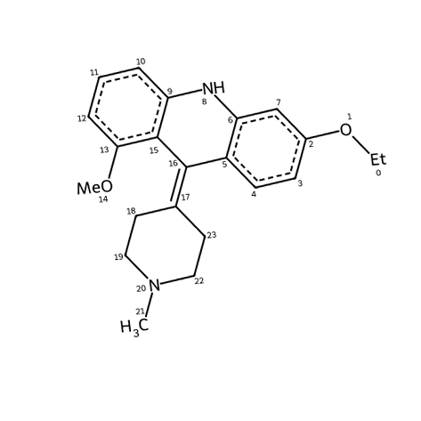 CCOc1ccc2c(c1)Nc1cccc(OC)c1C2=C1CCN(C)CC1